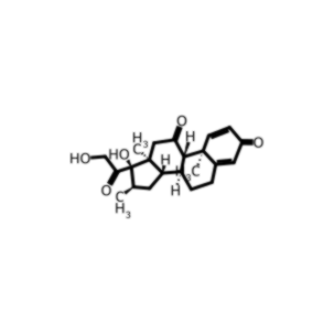 C[C@@H]1C[C@H]2[C@@H]3CCC4=CC(=O)C=C[C@]4(C)[C@H]3C(=O)C[C@]2(C)[C@@]1(O)C(=O)CO